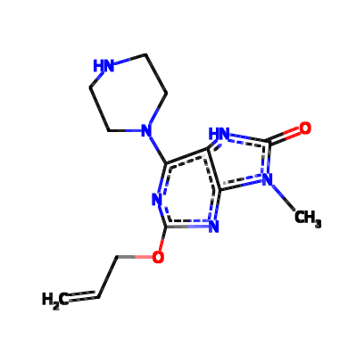 C=CCOc1nc(N2CCNCC2)c2[nH]c(=O)n(C)c2n1